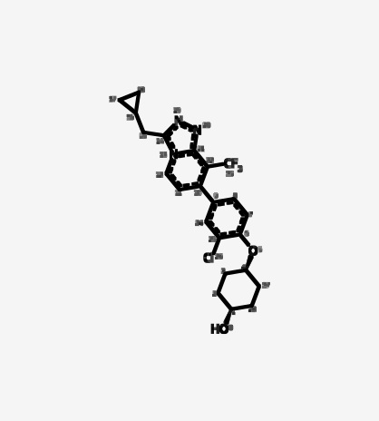 O[C@H]1CC[C@@H](Oc2ccc(-c3ccn4c(CC5CC5)nnc4c3C(F)(F)F)cc2Cl)CC1